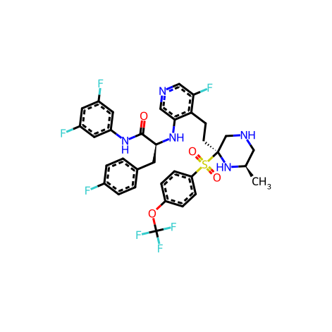 C[C@@H]1CNC[C@](CCc2c(F)cncc2N[C@@H](Cc2ccc(F)cc2)C(=O)Nc2cc(F)cc(F)c2)(S(=O)(=O)c2ccc(OC(F)(F)F)cc2)N1